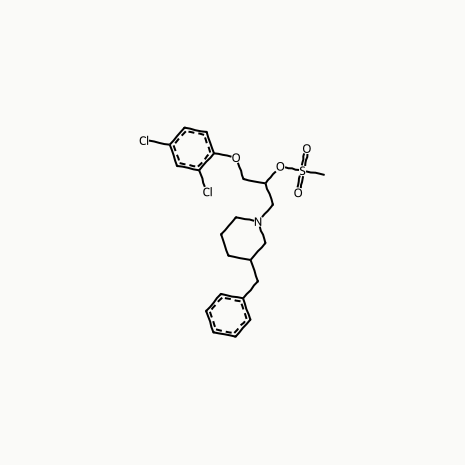 CS(=O)(=O)OC(COc1ccc(Cl)cc1Cl)CN1CCCC(Cc2ccccc2)C1